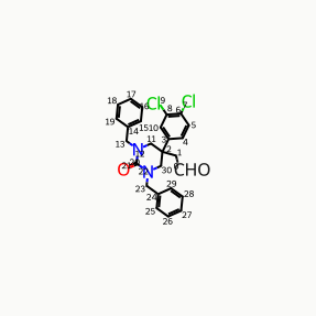 O=CCC1(c2ccc(Cl)c(Cl)c2)CN(Cc2ccccc2)C(=O)N(Cc2ccccc2)C1